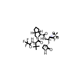 CC(C)(C)[C@@H](NC(=O)C(F)(F)F)C(=O)N1C[C@@H]2CCC[C@@H]2[C@H]1C(=O)N[C@@H](/C=C(\F)S(C)(=O)=O)C[C@H]1CCNC1=O